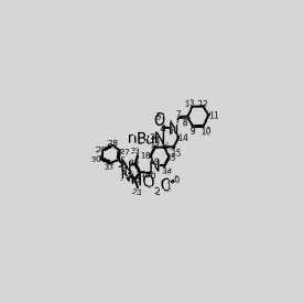 CC(=O)O.CCCCN1C(=O)N(CC2CCCCC2)CCC12CCN(Cc1c(C)nn(-c3ccccc3)c1C)CC2